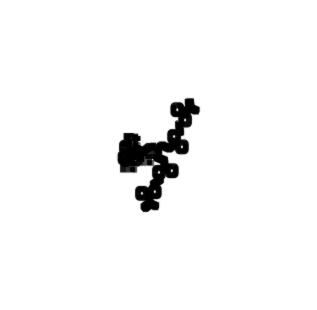 C=C(C)C(=O)OCCOC(=O)CCN(CCC[Si](OCC)(OCC)OCC)CCC(=O)OCCOC(=O)C(=C)C